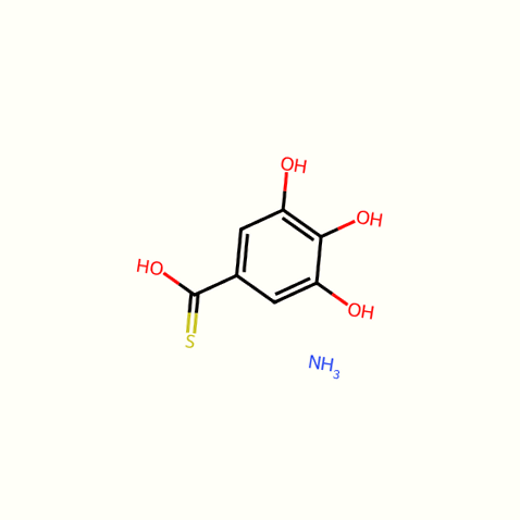 N.OC(=S)c1cc(O)c(O)c(O)c1